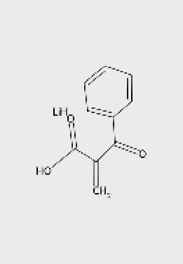 C=C(C(=O)O)C(=O)c1ccccc1.[LiH]